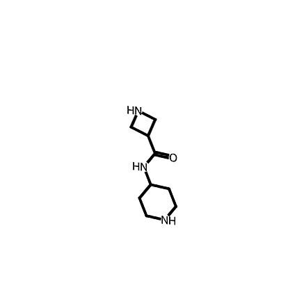 O=C(NC1CCNCC1)C1CNC1